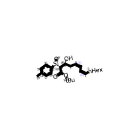 CCCCCC/C=C\C=C/C[C@@H](O)[C@H](C(=O)OC(C)(C)C)[S+]([O-])c1ccc(C)cc1